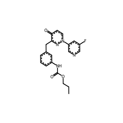 CCCOC(=O)Nc1cccc(Cc2nn(-c3cncc(F)c3)ccc2=O)c1